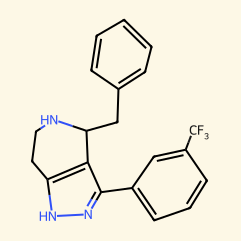 FC(F)(F)c1cccc(-c2n[nH]c3c2C(Cc2ccccc2)NCC3)c1